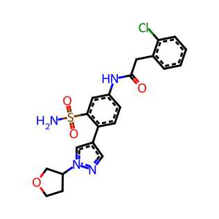 NS(=O)(=O)c1cc(NC(=O)Cc2ccccc2Cl)ccc1-c1cnn(C2CCOC2)c1